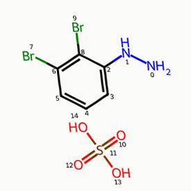 NNc1cccc(Br)c1Br.O=S(=O)(O)O